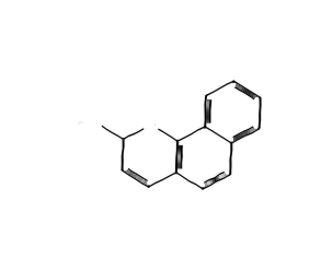 CCCCCC1C=Cc2ccc3ccccc3c2O1